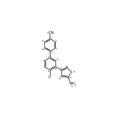 N#Cc1ccc(-c2ccc(F)c(-c3csc(N)n3)c2)cc1